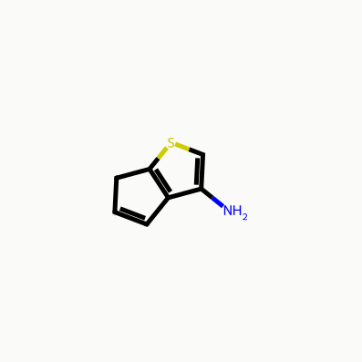 Nc1csc2c1C=CC2